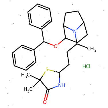 CC(CCC1NC(=O)C(C)(C)S1)N1C2CCC(OC(c3ccccc3)c3ccccc3)C1CC2.Cl